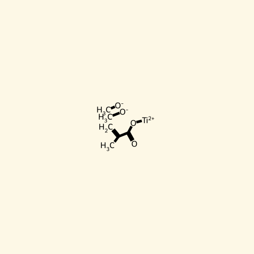 C=C(C)C(=O)[O][Ti+2].C[O-].C[O-]